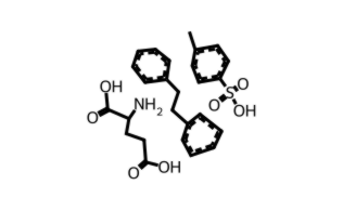 Cc1ccc(S(=O)(=O)O)cc1.NC(CCC(=O)O)C(=O)O.c1ccc(CCc2ccccc2)cc1